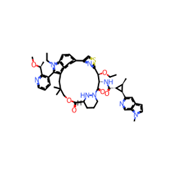 CCO[C@@H]1c2nc(cs2)-c2ccc3c(c2)c(c(-c2cccnc2[C@H](C)OC)n3CC)CC(C)(C)COC(=O)[C@@H]2CCCN(N2)C(=O)[C@H]1NC(=O)[C@@H]1[C@@H](C)[C@H]1c1cc2ccn(C)c2cn1